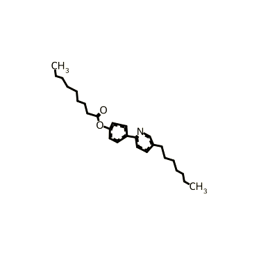 CCCCCCCCC(=O)Oc1ccc(-c2ccc(CCCCCCC)cn2)cc1